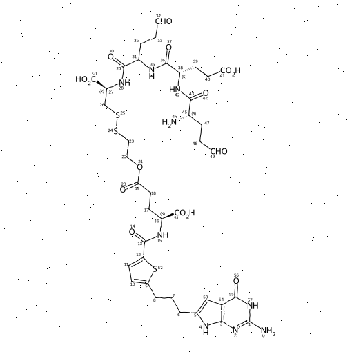 Nc1nc2[nH]c(CCCc3ccc(C(=O)N[C@@H](CCC(=O)OCCSSC[C@H](NC(=O)C(CCC=O)NC(=O)[C@H](CCC(=O)O)NC(=O)[C@@H](N)CCC=O)C(=O)O)C(=O)O)s3)cc2c(=O)[nH]1